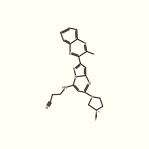 Cc1nc2ccccc2nc1-c1cc2nc(N3CC[C@@H](F)C3)cc(NCCC#N)n2n1